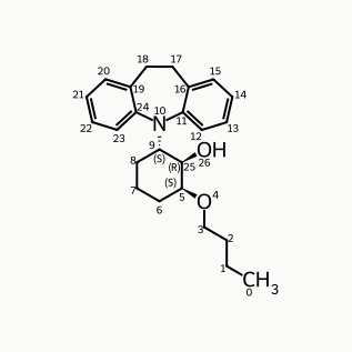 CCCCO[C@H]1CCC[C@H](N2c3ccccc3CCc3ccccc32)[C@H]1O